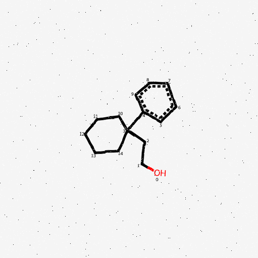 OCCC1(c2cc[c]cc2)CCCCC1